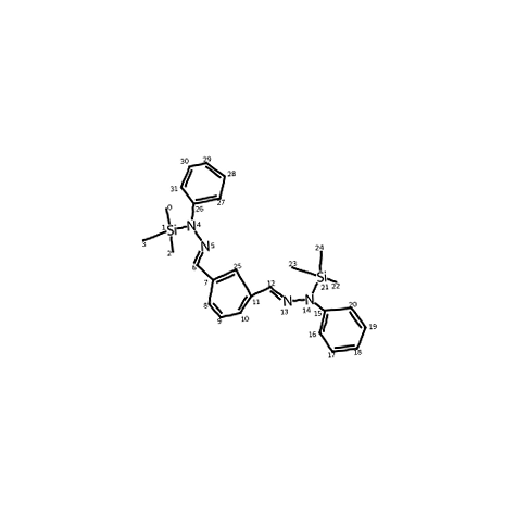 C[Si](C)(C)N(N=Cc1cccc(C=NN(c2ccccc2)[Si](C)(C)C)c1)c1ccccc1